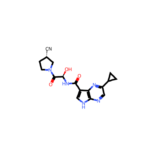 N#C[C@H]1CCN(C(=O)[C@@H](O)NC(=O)c2c[nH]c3ncc(C4CC4)nc23)C1